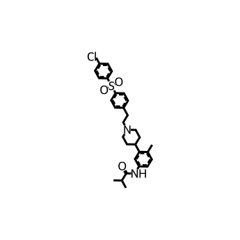 Cc1ccc(NC(=O)C(C)C)cc1C1CCN(CCc2ccc(S(=O)(=O)c3ccc(Cl)cc3)cc2)CC1